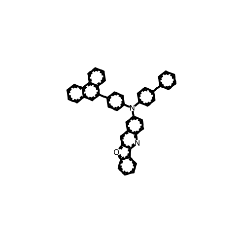 c1ccc(-c2ccc(N(c3ccc(-c4cc5ccccc5c5ccccc45)cc3)c3ccc4nc5c(cc4c3)oc3ccccc35)cc2)cc1